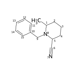 CC1CCCC(C#N)N1Cc1ccccc1